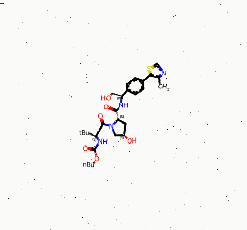 CCCCOC(=O)N[C@H](C(=O)N1C[C@H](O)C[C@H]1C(=O)N[C@@H](CO)c1ccc(-c2scnc2C)cc1)C(C)(C)C